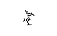 CCc1cc2cc(OCF)cc(COc3cc(CC(C)C)c(CCC(=O)O)cc3F)c2o1